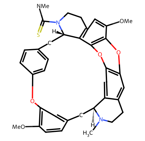 CNC(=S)N1CCc2cc(OC)c3c4c2[C@@H]1Cc1ccc(cc1)Oc1cc(ccc1OC)C[C@H]1c2cc(c(cc2CCN1C)O3)O4